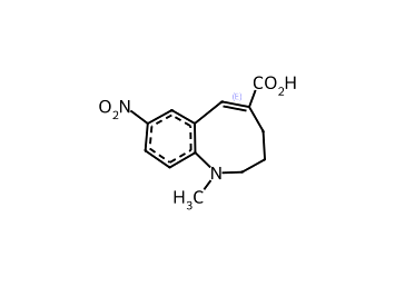 CN1CCC/C(C(=O)O)=C\c2cc([N+](=O)[O-])ccc21